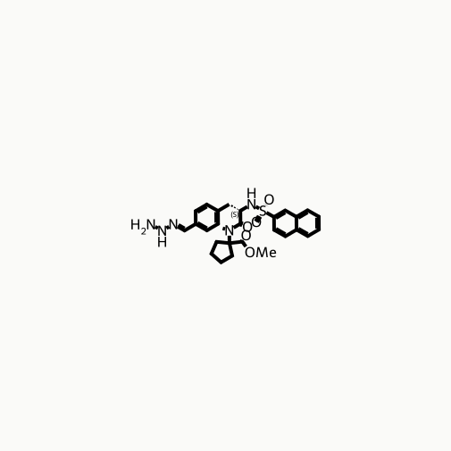 COC(=O)C1(N(C)C(=O)[C@H](Cc2ccc(C=NNN)cc2)NS(=O)(=O)c2ccc3ccccc3c2)CCCC1